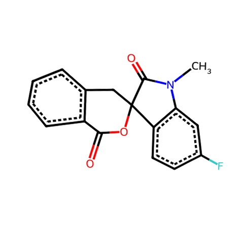 CN1C(=O)C2(Cc3ccccc3C(=O)O2)c2ccc(F)cc21